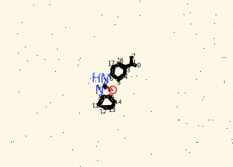 CC(C)c1ccc(Nc2nc3ccccc3o2)cc1